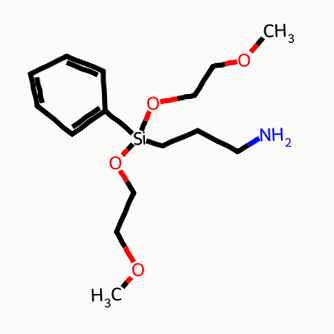 COCCO[Si](CCCN)(OCCOC)c1ccccc1